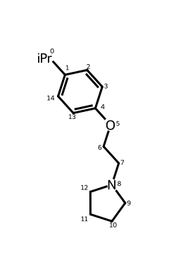 CC(C)c1ccc(OCCN2CCCC2)cc1